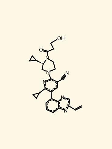 C=Cc1cnc2c(-c3cc(C#N)c(N4CCN(C(=O)CCO)[C@H](C5CC5)C4)nc3C3CC3)cccc2n1